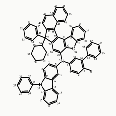 Cc1ccc(N(c2ccc3c(c2)c2ccccc2n3-c2ccccc2)c2cc3c(c4c2oc2ccccc24)-c2c(ccc4ccccc24)C3(c2ccccc2)C2CCCCC2)cc1-c1ccccc1